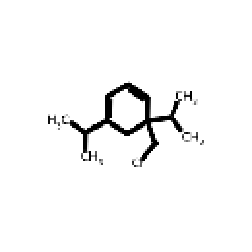 CC(C)C1=CC=CC(CCl)(C(C)C)C1